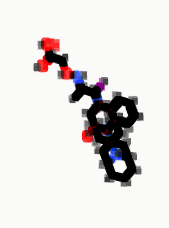 CC(=N\OCC(=O)O)/C(I)=N/c1ccccc1N(C=O)C1CC2CCCC(C1)N2C1CC2CCCC(C2)C1